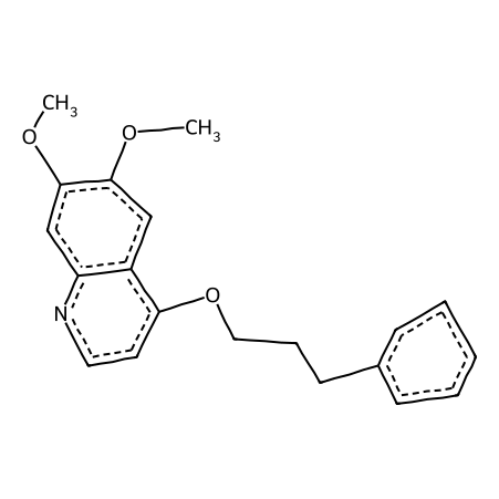 COc1cc2nccc(OCCCc3ccccc3)c2cc1OC